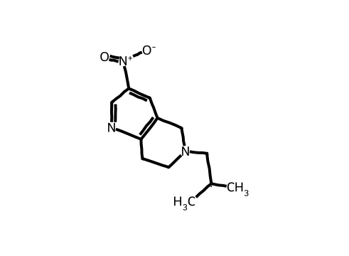 C[C](C)CN1CCc2ncc([N+](=O)[O-])cc2C1